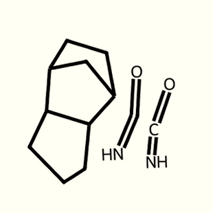 C1CC2C3CCC(C3)C2C1.N=C=O.N=C=O